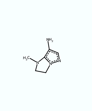 CN1CCn2ncc(N)c21